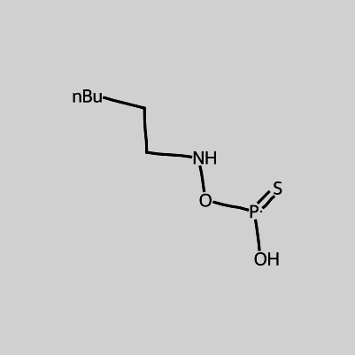 CCCCCCNO[P](O)=S